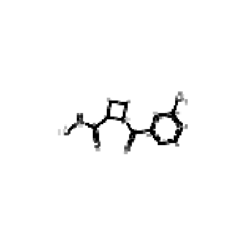 O=C(NO)C1CCN1C(=O)c1cccc(C(F)(F)F)c1